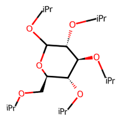 CC(C)OC[C@H]1OC(OC(C)C)[C@H](OC(C)C)[C@@H](OC(C)C)[C@@H]1OC(C)C